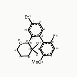 CCc1ccc(-c2cc(OC)ccc2F)c([C@@H]2OCCCC2(C)C)c1